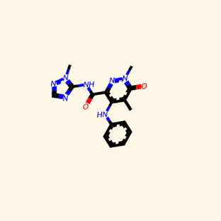 Cc1c(Nc2ccccc2)c(C(=O)Nc2ncnn2C)nn(C)c1=O